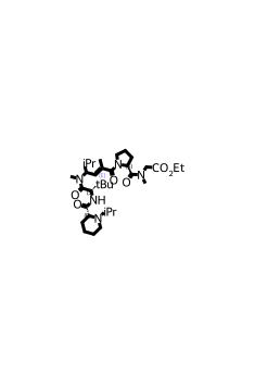 CCOC(=O)CN(C)C(=O)[C@@H]1CCCN1C(=O)/C(C)=C/C(C(C)C)N(C)C(=O)[C@@H](NC(=O)[C@H]1CCCCN1C(C)C)C(C)(C)C